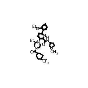 CCOc1ccccc1-c1ccc(N2CCN(C(=O)C3CCC(C(F)(F)F)CC3)C[C@H]2CC)c(C(=O)N[C@@H]2CCN(C)C2)n1